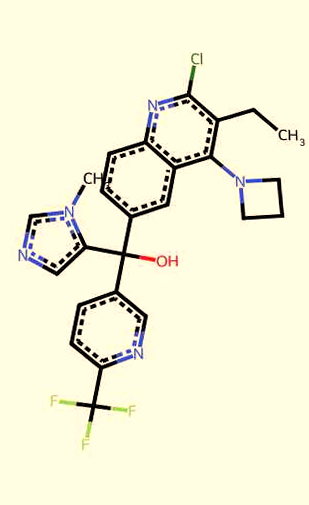 CCc1c(Cl)nc2ccc(C(O)(c3ccc(C(F)(F)F)nc3)c3cncn3C)cc2c1N1CCC1